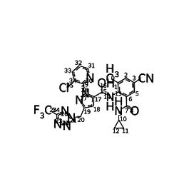 Cc1cc(C#N)cc(C(=O)NC2CC2)c1NC(O)c1cc(Cn2nnc(C(F)(F)F)n2)nn1-c1ncccc1Cl